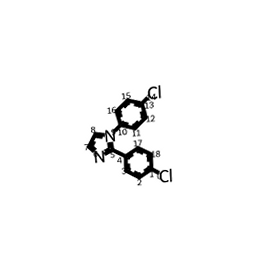 Clc1ccc(-c2nccn2-c2ccc(Cl)cc2)cc1